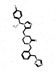 C[C@H](c1ccc(F)cc1)n1cncc1CN1CCN(Cc2ccccc2Cn2cncn2)C(=O)C1